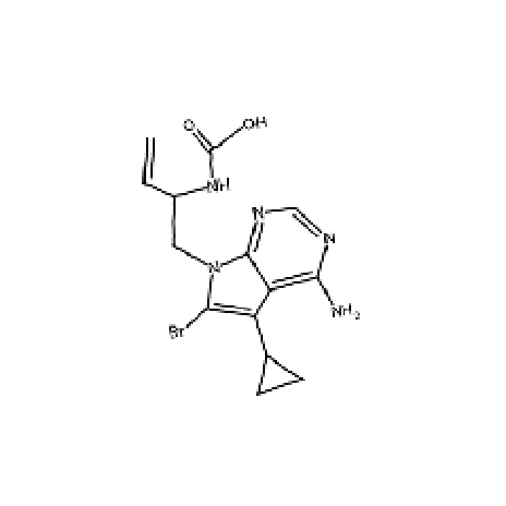 C=CC(Cn1c(Br)c(C2CC2)c2c(N)ncnc21)NC(=O)O